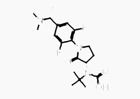 C[C@H](c1cc(F)c(N2CC[C@H](N(C(=O)O)C(C)(C)C)C2=O)c(F)c1)N(C)C